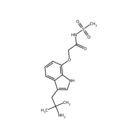 CC(C)(N)Cc1c[nH]c2c(OCC(=O)NS(C)(=O)=O)cccc12